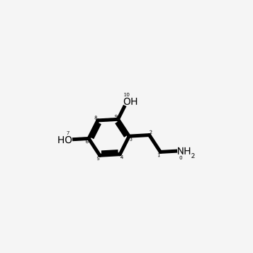 NCCc1ccc(O)cc1O